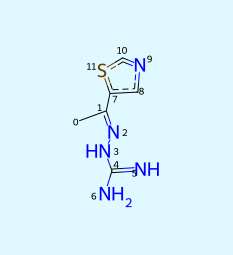 CC(=NNC(=N)N)c1cncs1